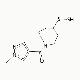 Cn1cc(C(=O)N2CCC(SS)CC2)cn1